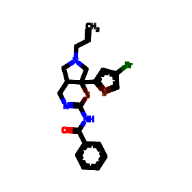 C=CCN1CC2CN=C(NC(=O)c3ccccc3)SC2(c2cc(Br)cs2)C1